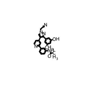 CC(=O)Nc1cccc(-c2cc(-c3cn(CC#N)nc3-c3cc(C)cc(O)c3)ccn2)c1